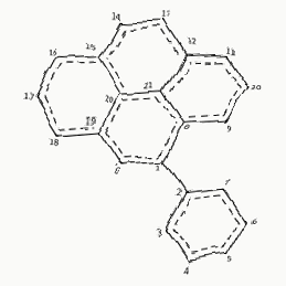 [c]1c(-c2ccccc2)c2cccc3ccc4cccc1c4c32